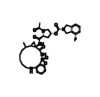 CC(=O)N1C[C@H](OC(=O)N2Cc3cccc(F)c3C2)C[C@H]1C(=O)N[C@]12CC1C(C)CCCCCNc1ccccc1S(=O)(=O)NC2=O